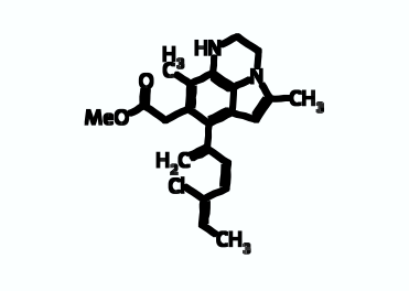 C=C(/C=C\C(Cl)=C/C)c1c(CC(=O)OC)c(C)c2c3c1cc(C)n3CCN2